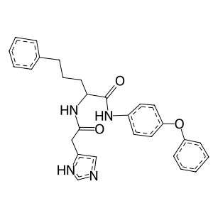 O=C(Cc1cnc[nH]1)NC(CCCc1ccccc1)C(=O)Nc1ccc(Oc2ccccc2)cc1